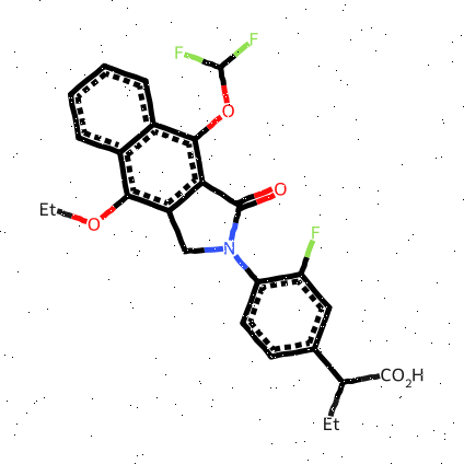 CCOc1c2c(c(OC(F)F)c3ccccc13)C(=O)N(c1ccc(C(CC)C(=O)O)cc1F)C2